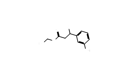 CCOC(=O)CC(C)c1cccc(O)c1